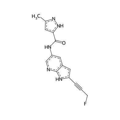 Cc1cc(C(=O)Nc2cnc3[nH]c(C#CCF)cc3c2)[nH]n1